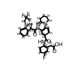 O=C(O)Cc1cc(F)ccc1NC(=O)c1ccc(N2CCCCC2=O)c(NC(=O)c2nn(CC(F)(F)F)c3ccccc23)c1